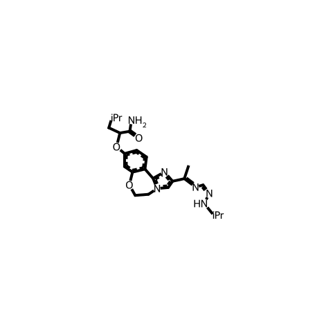 C/C(=N\C=N/NC(C)C)c1cn2c(n1)-c1ccc(OC(CC(C)C)C(N)=O)cc1OCC2